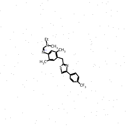 CCN(C)/C=N\c1cc(C)c(Cc2nc(-c3ccc(C(F)(F)F)cc3)cs2)cc1C